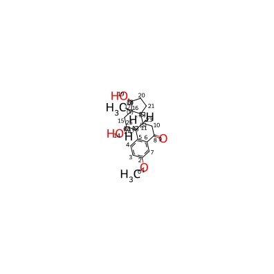 COc1ccc2c(c1)C(=O)C[C@@H]1[C@@H]2[C@@H](O)C[C@]2(C)[C@@H](O)CC[C@@H]12